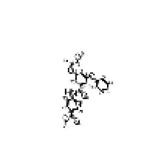 COC[C@H](C)Oc1cc(Oc2ccccc2)cc(C(=O)Nc2ccc(C(=O)OC)cn2)c1